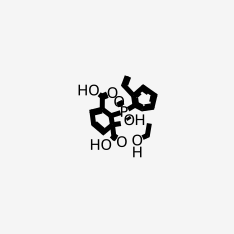 C=Cc1ccccc1P(=O)(O)C1C(C(=O)O)=CC=CC1(C)C(=O)O.CCO